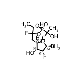 B[C@@H]1O[C@H](CC(F)(CC)OP(=O)(O)C(C)(C)O)[C@@H](O)[C@H]1F